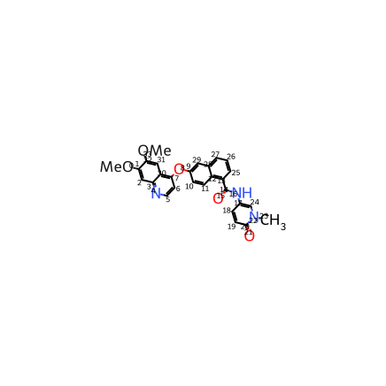 COc1cc2nccc(Oc3ccc4c(C(=O)Nc5ccc(=O)n(C)c5)cccc4c3)c2cc1OC